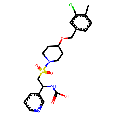 Cc1ccc(COC2CCN(S(=O)(=O)CC(NC(=O)O)c3cccnc3)CC2)cc1Cl